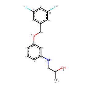 OC(CNc1cccc(OCc2cc(F)cc(F)c2)c1)C(F)(F)F